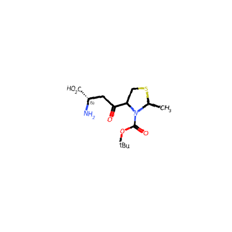 CC1SCC(C(=O)C[C@H](N)C(=O)O)N1C(=O)OC(C)(C)C